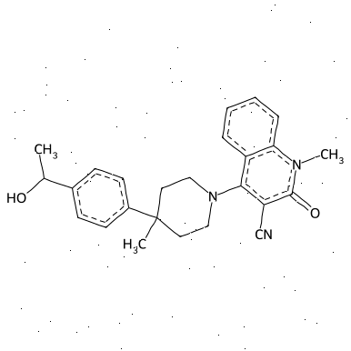 CC(O)c1ccc(C2(C)CCN(c3c(C#N)c(=O)n(C)c4ccccc34)CC2)cc1